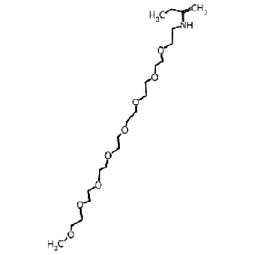 C=C(CC)NCCOCCOCCOCCOCCOCCOCCOCCOC